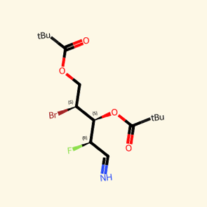 CC(C)(C)C(=O)OC[C@H](Br)[C@@H](OC(=O)C(C)(C)C)[C@H](F)C=N